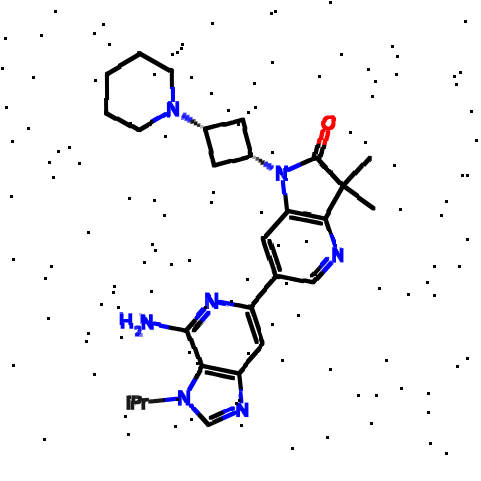 CC(C)n1cnc2cc(-c3cnc4c(c3)N([C@H]3C[C@@H](N5CCCCC5)C3)C(=O)C4(C)C)nc(N)c21